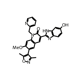 COc1cc2c(cc1-c1c(C)noc1C)cc(-c1nc3ccc(O)cc3[nH]1)c(=O)n2Cc1ccccn1